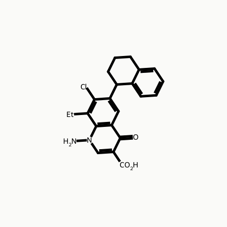 CCc1c(Cl)c(C2CCCc3ccccc32)cc2c(=O)c(C(=O)O)cn(N)c12